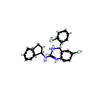 Clc1ccc2c(c1)[C@H](c1ccccc1Cl)NC(NC1CCc3ccccc31)=N2